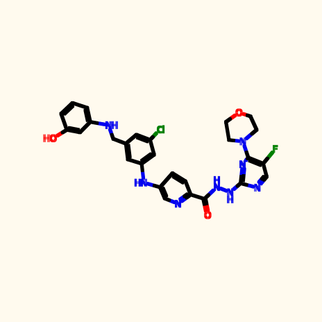 O=C(NNc1ncc(F)c(N2CCOCC2)n1)c1ccc(Nc2cc(Cl)cc(CNc3cccc(O)c3)c2)cn1